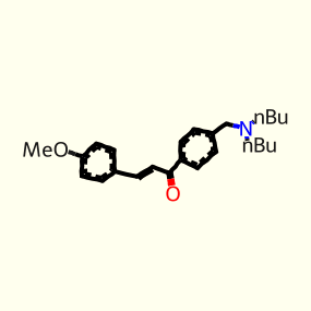 CCCCN(CCCC)Cc1ccc(C(=O)C=Cc2ccc(OC)cc2)cc1